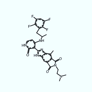 Cc1c2c(cc3[nH]c(-c4c(NC(C)Cc5c(F)c(F)cc(F)c5F)cc[nH]c4=O)nc13)C(=O)N(CCN(C)C)C2=O